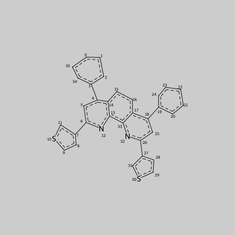 c1ccc(-c2cc(-c3ccsc3)nc3c2ccc2c(-c4ccccc4)cc(-c4ccsc4)nc23)cc1